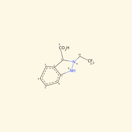 O=C(O)C1c2ccccc2NN1CC(F)(F)F